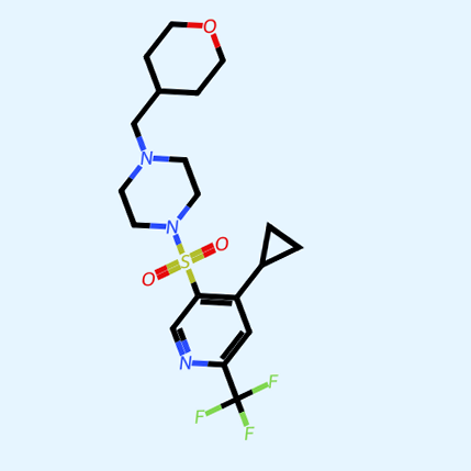 O=S(=O)(c1cnc(C(F)(F)F)cc1C1CC1)N1CCN(CC2CCOCC2)CC1